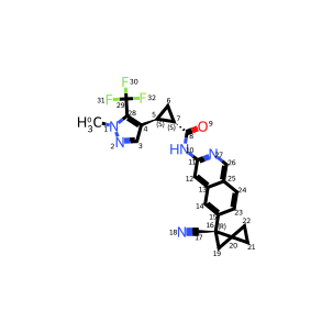 Cn1ncc([C@H]2C[C@@H]2C(=O)Nc2cc3cc([C@@]4(C#N)CC45CC5)ccc3cn2)c1C(F)(F)F